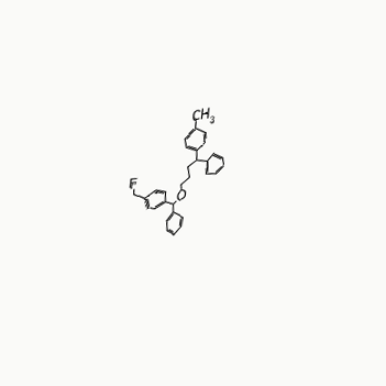 Cc1ccc(C(CCCOC(c2ccccc2)c2ccc(CF)cc2)c2ccccc2)cc1